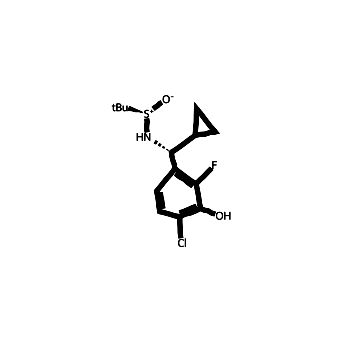 CC(C)(C)[S@@+]([O-])N[C@@H](c1ccc(Cl)c(O)c1F)C1CC1